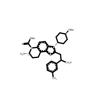 COC(=O)N1c2ccc3c(nc(CC(C(=O)O)c4cccc(C)c4)n3[C@H]3CC[C@H](OC)CC3)c2CC[C@@H]1C